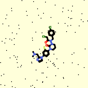 CN(C)Cc1nccn1-c1ccc(N2CCCN(N(Cc3ccc(Cl)cc3)C(=O)CCl)C2=O)c(F)c1